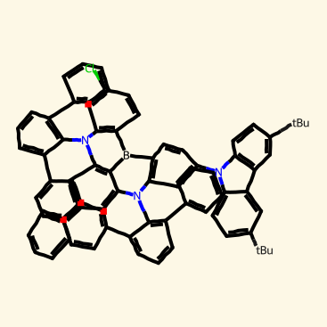 CC(C)(C)c1ccc2c(c1)c1cc(C(C)(C)C)ccc1n2-c1ccc2c(c1)N(c1c(-c3ccccc3)cccc1-c1ccccc1)c1cc(-c3ccccc3)cc3c1B2c1ccc(Cl)cc1N3c1c(-c2ccccc2)cccc1-c1ccccc1